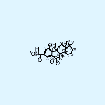 CONC(=O)c1cc(O)c2c(c1)S(=O)(=O)C[C@@H]1[C@@]3(C)CCCC(C)(C)[C@@H]3CC[C@@]21C